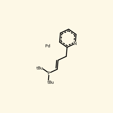 CC(C)(C)P(C=CCc1ccccn1)C(C)(C)C.[Pd]